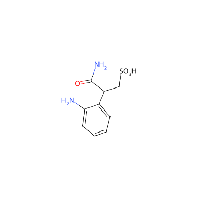 NC(=O)C(CS(=O)(=O)O)c1ccccc1N